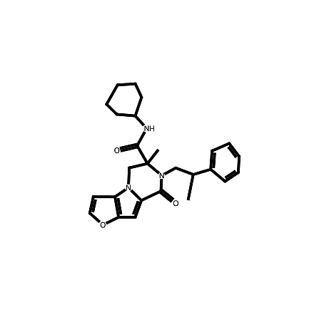 CC(CN1C(=O)c2cc3occc3n2CC1(C)C(=O)NC1CCCCC1)c1ccccc1